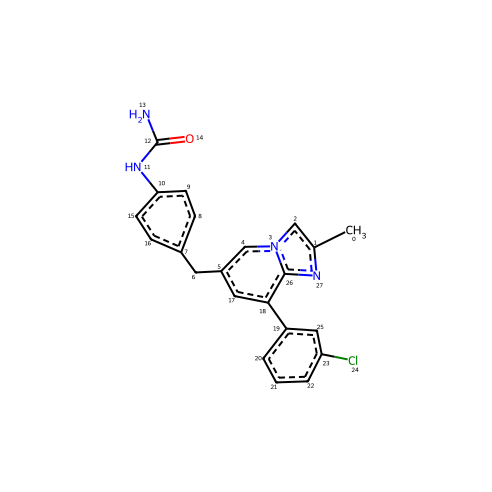 Cc1cn2cc(Cc3ccc(NC(N)=O)cc3)cc(-c3cccc(Cl)c3)c2n1